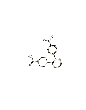 CC(=O)N1CCN(c2nccnc2-c2ccc([N+](=O)[O-])cc2)CC1